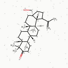 C=C(C)C1CC[C@]2(CO)CC[C@]3(C)[C@H](CC[C@@H]4[C@@]5(C)CCC(=O)C(C)(C)[C@@H]5CC[C@]43C)[C@@H]12